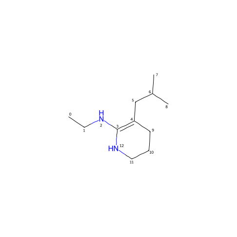 CCNC1=C(CC(C)C)CCCN1